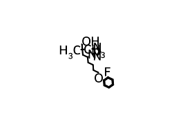 CC(C)(CO)CC(CCCCOc1ccccc1F)n1cncn1